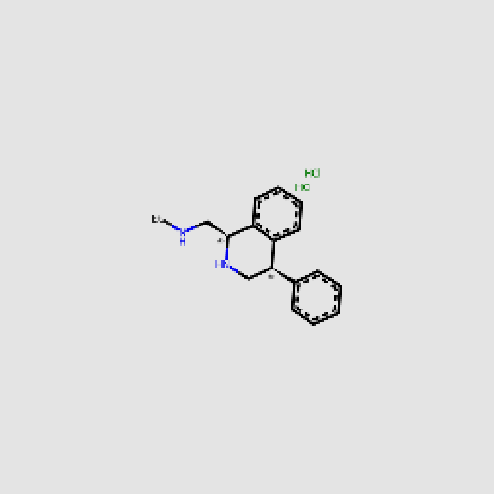 CCNC[C@@H]1NC[C@H](c2ccccc2)c2ccccc21.Cl.Cl